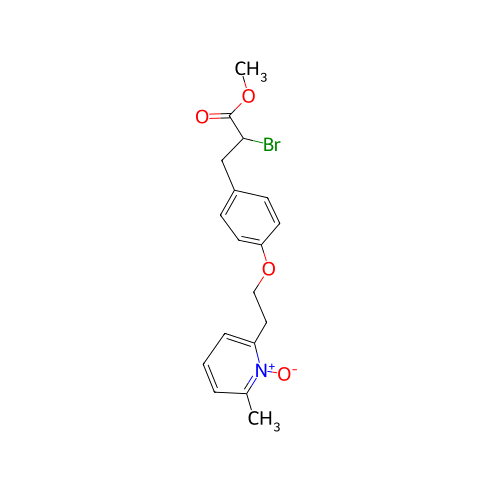 COC(=O)C(Br)Cc1ccc(OCCc2cccc(C)[n+]2[O-])cc1